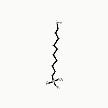 CCCCCCCCCCCCCCCCCCC[N+](C)(C)CC